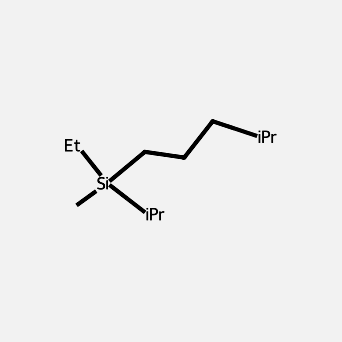 CC[Si](C)(CCCC(C)C)C(C)C